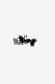 CSC(C[C@H](NC(=O)c1ccc(C=C(Cn2ccnc2)c2ccc(F)cc2)cc1)C(=O)O)C(C)CN1CCOCC1